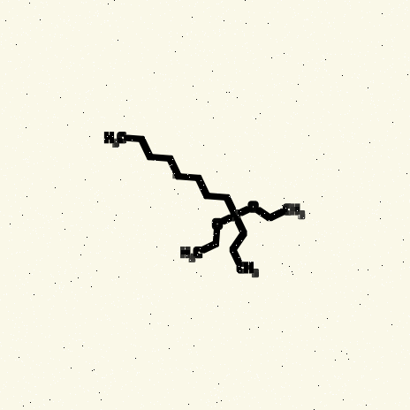 CCCC[CH]CCC[Si](CCC)(OCC)OCC